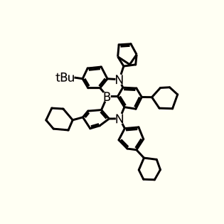 CC(C)(C)c1ccc2c(c1)B1c3cc(C4CCCCC4)ccc3N(c3ccc(C4CCCCC4)cc3)c3cc(C4CCCCC4)cc(c31)N2C1CC2C=CC1C2